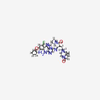 CC(C)(C=C(C#N)C(=O)N1CCC[C@@H](c2nc(-c3ccc(Oc4ccccc4)cc3F)c3c(N)nccn23)C1)N1CCN2C(=O)CC[C@@H]2C1